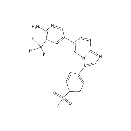 CS(=O)(=O)c1ccc(-c2cnc3ccc(-c4cnc(N)c(C(F)(F)F)c4)cn23)cc1